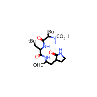 CC(C)(C)CC(NC(=O)C(NC(=O)O)C(C)(C)C)C(=O)NC(C=O)CC1CCNC1=O